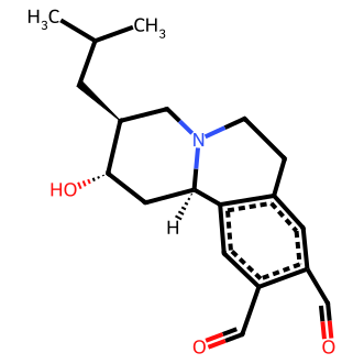 CC(C)C[C@H]1CN2CCc3cc(C=O)c(C=O)cc3[C@H]2C[C@@H]1O